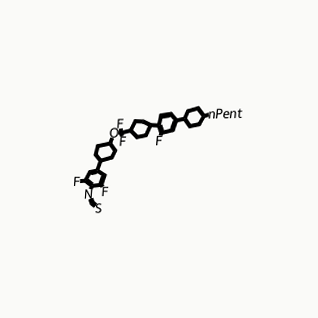 CCCCCC1CCC(c2ccc(C3CCC(C(F)(F)OC4CCC(c5cc(F)c(N=C=S)c(F)c5)CC4)CC3)c(F)c2)CC1